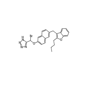 CCCCc1oc2ccccc2c1Cc1ccc2cc(OC(Br)c3nnn[nH]3)ccc2c1